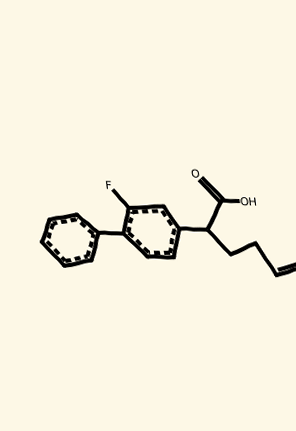 C=CCCC(C(=O)O)c1ccc(-c2ccccc2)c(F)c1